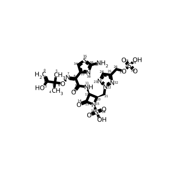 C=C(O)C(C)(C)O/N=C(\C(=O)N[C@@H]1C(=O)N(S(=O)(=O)O)[C@@H]1Cn1ncc(COS(=O)(=O)O)n1)c1csc(N)n1